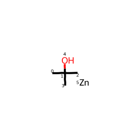 CC(C)(C)O.[Zn]